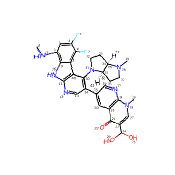 CNc1cc(F)c(F)c2c1[nH]c1ncc(-c3cnc4c(c3)c(=O)c(C(O)O)cn4C)c(N3CC[C@@H]4[C@H]3CCN4C)c12